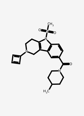 CC1CCN(C(=O)c2ccc3c(c2)c2c(n3S(C)(=O)=O)CCN(C3=CC=C3)C2)CC1